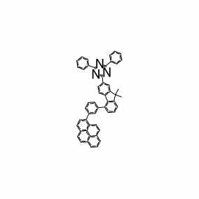 CC1(C)c2cc(-c3nc(-c4ccccc4)nc(-c4ccccc4)n3)ccc2-c2c(-c3cccc(-c4ccc5ccc6cccc7ccc4c5c67)c3)cccc21